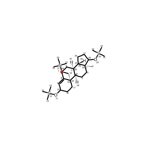 C[C@]12CC[C@@H]3[C@@H](CCC4=CC(O[Si](C)(C)C)CC[C@@]43CO[Si](C)(C)C)[C@@H]1CCC2O[Si](C)(C)C